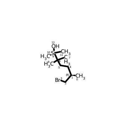 C[C@@H](CBr)CCC(C)(C)[Si](C)(C)O